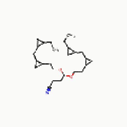 CCC1CC1CC1CC1CCOC(CCC#N)OCCC1CC1CC1CC1CC